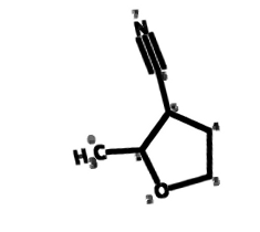 CC1OCCC1C#N